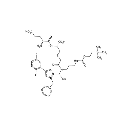 CC(C)(C)[C@H](c1cc(-c2cc(F)ccc2F)cn1Cc1ccccc1)N(CCCNC(=O)OCC[Si](C)(C)C)C(=O)CSC[C@H](NC(=O)[C@@H](N)CCC(=O)O)C(=O)O